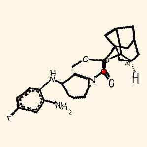 COC(=O)C12CC3CC(C1)C(OC(=O)N1CCC(Nc4ccc(F)cc4N)C1)[C@@H](C3)C2